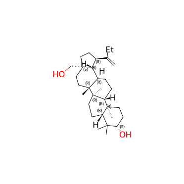 C=C(CC)[C@@H]1CC[C@]2(CO)CC[C@]3(C)[C@H](CC[C@@H]4[C@@]5(C)CC[C@H](O)C(C)(C)[C@@H]5CC[C@]43C)[C@@H]12